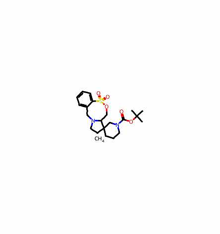 C.CC(C)(C)OC(=O)N1CCCC2(CCN3Cc4ccccc4S(=O)(=O)OCC32)C1